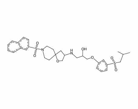 CC(C)CS(=O)(=O)c1cccc(OCC(O)CNC2COC3(CCN(S(=O)(=O)c4ccc5ccccc5c4)CC3)C2)c1